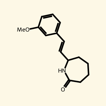 COc1cccc(/C=C/C2CCCCC(=O)N2)c1